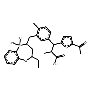 CCC1CN(Cc2cc(C(c3ccc(C(C)=O)s3)C(C)C(=O)O)ccc2C)S(O)(O)c2ccccc2O1